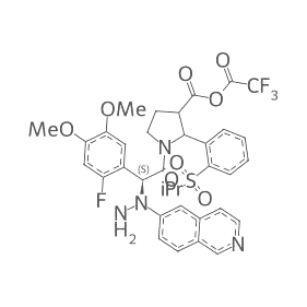 COc1cc(F)c([C@@H](C(=O)N2CCC(C(=O)OC(=O)C(F)(F)F)C2c2ccccc2S(=O)(=O)C(C)C)N(N)c2ccc3cnccc3c2)cc1OC